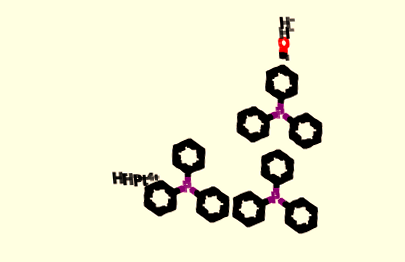 [C]=O.[H-].[H-].[H-].[H-].[Pt+4].c1ccc(P(c2ccccc2)c2ccccc2)cc1.c1ccc(P(c2ccccc2)c2ccccc2)cc1.c1ccc(P(c2ccccc2)c2ccccc2)cc1